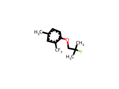 Cc1ccc(OCC(C)(C)F)c(C(F)(F)F)c1